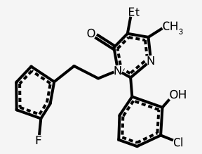 CCc1c(C)nc(-c2cccc(Cl)c2O)n(CCc2cccc(F)c2)c1=O